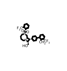 Cc1c(-c2ccc([C@H]3C4CN(S(=O)(=O)c5ccccc5C(F)(F)F)CCCCN4[C@@H]3CO)cc2)cccc1C(F)(F)F